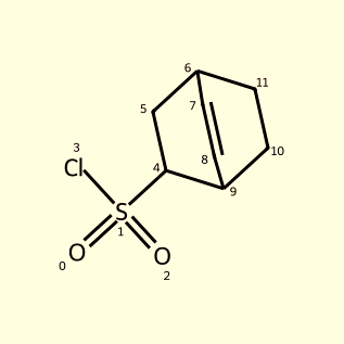 O=S(=O)(Cl)C1CC2C=CC1CC2